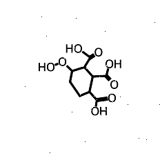 O=C(O)C1CCC(OO)C(C(=O)O)C1C(=O)O